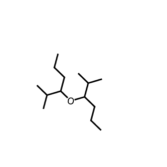 CCCC(OC(CCC)C(C)C)C(C)C